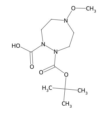 CON1CCN(C(=O)O)N(C(=O)OC(C)(C)C)CC1